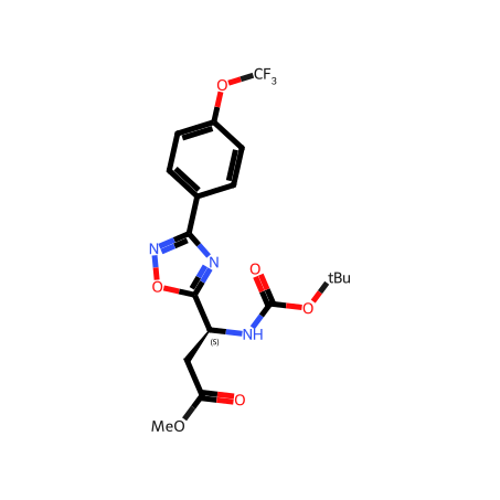 COC(=O)C[C@H](NC(=O)OC(C)(C)C)c1nc(-c2ccc(OC(F)(F)F)cc2)no1